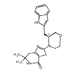 CC1(C)Cc2nc(N3CCOC[C@@H]3Cc3cc4ccccc4[nH]3)sc2C(=O)N1